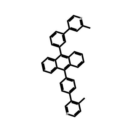 Cc1cc(-c2cccc(-c3c4ccccc4c(-c4ccc(-c5cnccc5C)cc4)c4ccccc34)c2)ccn1